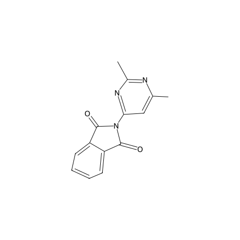 Cc1cc(N2C(=O)c3ccccc3C2=O)nc(C)n1